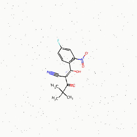 CC(C)(C)C(=O)/C(C#N)=C(\O)c1ccc(F)cc1[N+](=O)[O-]